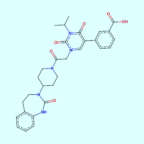 CC(C)n1c(=O)c(-c2cccc(C(=O)O)c2)cn(CC(=O)N2CCC(N3CCc4ccccc4NC3=O)CC2)c1=O